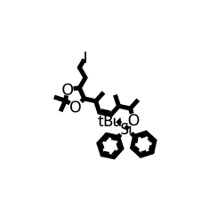 CC(/C=C\C(C)C1OC(C)(C)OC1CCI)C(C)O[Si](c1ccccc1)(c1ccccc1)C(C)(C)C